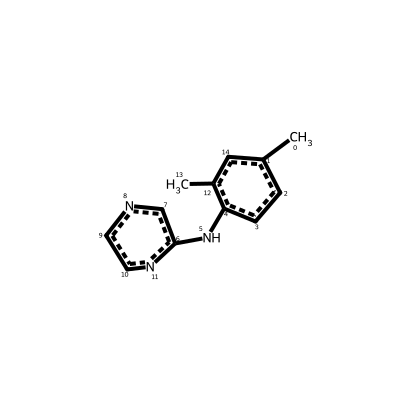 Cc1ccc(Nc2cnccn2)c(C)c1